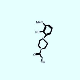 COc1cccc(N2CCN(C(=O)OC(C)(C)C)CC2)c1C#N